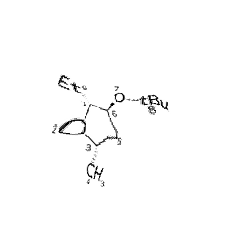 CC[C@H]1O[C@@H](C)C[C@@H]1OC(C)(C)C